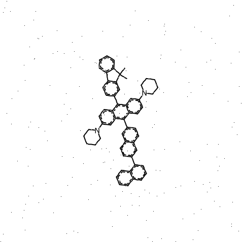 CC1(C)c2ccccc2-c2ccc(-c3c4ccc(N5CCCCC5)cc4c(-c4ccc5cc(-c6cccc7ccccc67)ccc5c4)c4ccc(N5CCCCC5)cc34)cc21